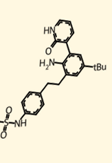 CC(C)(C)c1cc(CCc2ccc(NS(C)(=O)=O)cc2)c(N)c(-c2ccc[nH]c2=O)c1